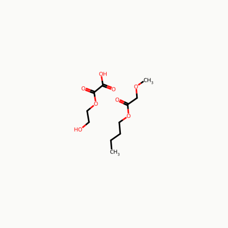 CCCCOC(=O)COC.O=C(O)C(=O)OCCO